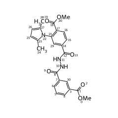 COC(=O)c1cccc(C(=O)NNC(=O)c2ccc(C(=O)OC)c(-n3c(C)ccc3C)c2)c1